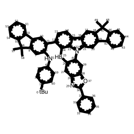 CC(C)(C)c1ccc(Nc2cc3c(cc2-c2ccc4c5cc6c(cc5n5c4c2Bc2cc4nc(-c7ccccc7)oc4cc2-5)-c2ccccc2C6(C)C)-c2ccccc2C3(C)C)cc1